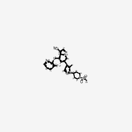 Cc1c(-c2cc(Sc3ncccc3F)c3c(C#N)cnn3c2)cnn1C1CCN(S(C)(=O)=O)CC1